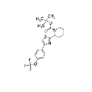 CC(C)(C)OC(=O)N1CCCCC1c1nc(-c2ccc(OC(F)(F)F)cc2)cs1